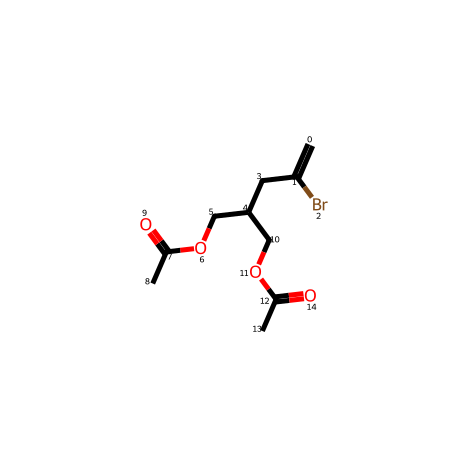 C=C(Br)CC(COC(C)=O)COC(C)=O